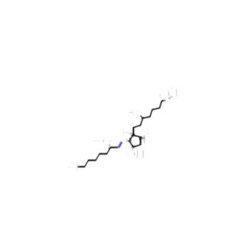 COC(=O)CCCC(Br)C1C[C@@H]2[C@@H](/C=C/[C@@H](O)CCCCCCl)[C@H](O)C[C@H]2O1